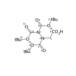 CC(C)(C)OC(=O)N(CC(=O)O)N(C(=O)OC(C)(C)C)C(=O)OC(C)(C)C